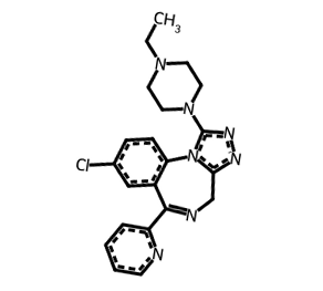 CCN1CCN(c2nnc3n2-c2ccc(Cl)cc2C(c2ccccn2)=NC3)CC1